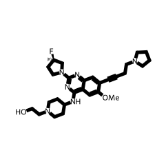 COc1cc2c(NC3CCN(CCO)CC3)nc(N3CC[C@@H](F)C3)nc2cc1C#CCCN1CCCC1